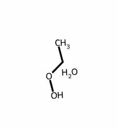 CCOO.O